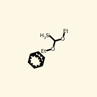 CCOC([SiH3])OCC.c1cc2ccc1cc2